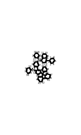 C1=C(c2ccccc2)c2ccccc2C(N(c2ccccc2)c2ccc3c(c2)c2cc(C4(c5ccccc5)c5ccccc5-c5ccccc54)ccc2n3-c2ccccc2)C1